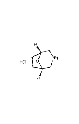 C1C[C@H]2CNC[C@@H]1O2.Cl